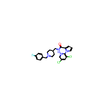 O=C(NCC1CCN(Cc2ccc(F)cc2)CC1)c1cccn1-c1ncc(Cl)cc1Cl